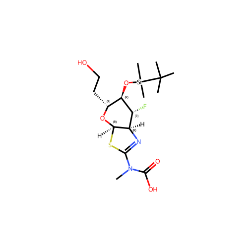 CN(C(=O)O)C1=N[C@@H]2[C@@H](F)[C@H](O[Si](C)(C)C(C)(C)C)[C@@H](CCO)O[C@@H]2S1